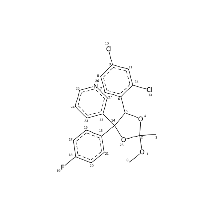 COC1(C)OC(c2ccc(Cl)cc2Cl)C(c2ccc(F)cc2)(c2cccnc2)O1